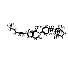 CN1[C@@H]2CC[C@H]1C[C@@H](Oc1ccc(-n3cnc4cc(C#CCCCO)sc4c3=O)cc1)C2